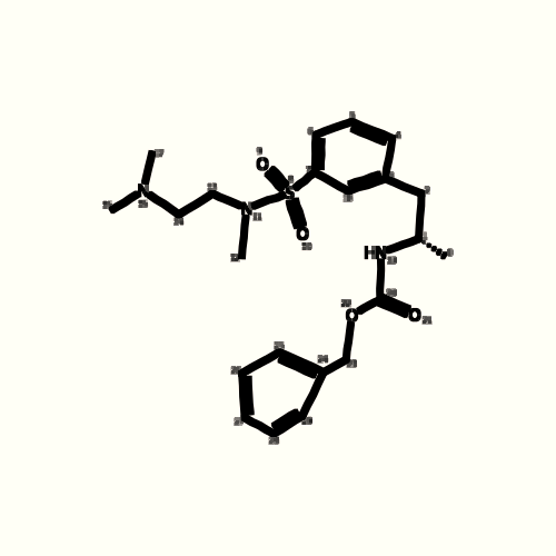 C[C@@H](Cc1cccc(S(=O)(=O)N(C)CCN(C)C)c1)NC(=O)OCc1ccccc1